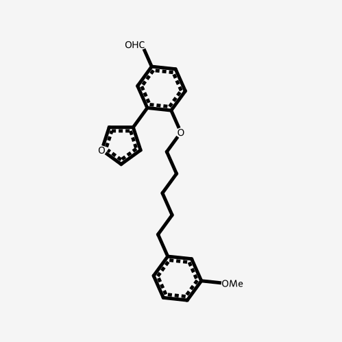 COc1cccc(CCCCCOc2ccc(C=O)cc2-c2ccoc2)c1